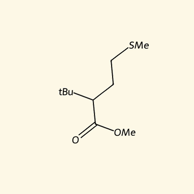 COC(=O)C(CCSC)C(C)(C)C